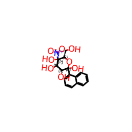 O=[N+]([O-])[C@@]1(O)[C@H](O)[C@@H](O)[C@@](O)(c2cccc3ccccc23)O[C@@H]1CO